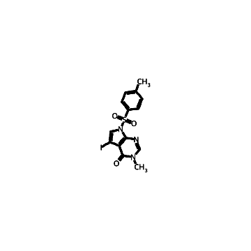 Cc1ccc(S(=O)(=O)n2cc(I)c3c(=O)n(C)cnc32)cc1